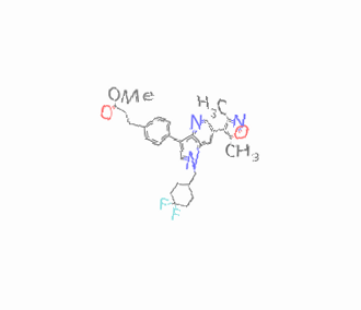 COC(=O)CCc1ccc(-c2cn(CC3CCC(F)(F)CC3)c3cc(-c4c(C)noc4C)cnc23)cc1